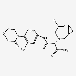 NC(=O)[C@H](C(=O)Nc1ccc(N2CCOCC2=O)c(C(F)(F)F)c1)N(CC(F)F)CC1CC1